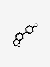 O=C1CC=C(c2ccc3c(c2)OCC3)CC1